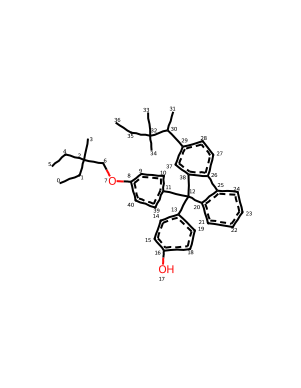 CCC(C)(CC)COc1ccc(C2(c3ccc(O)cc3)c3ccccc3-c3ccc(C(C)C(C)(C)CC)cc32)cc1